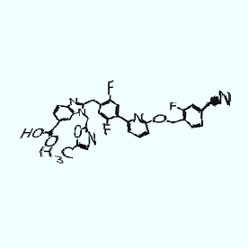 Cc1cnc(Cn2c(Cc3cc(F)c(-c4cccc(OCc5ccc(C#N)cc5F)n4)cc3F)nc3ccc(C(=O)O)cc32)o1